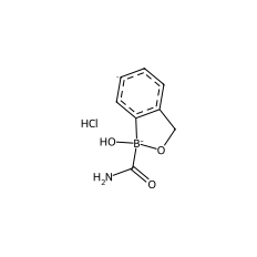 Cl.NC(=O)[B-]1(O)OCc2cc[c]cc21